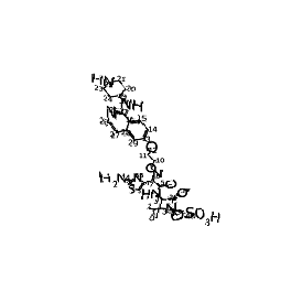 CC1(C)C(NC(=O)C(=NOCCOc2ccc3c(NC4CCNCC4)nccc3c2)c2csc(N)n2)C(=O)N1OS(=O)(=O)O